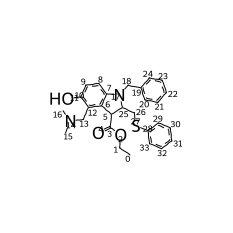 CCOC(=O)C1c2c(ccc(O)c2CN(C)C)N(Cc2ccccc2)C1CSc1ccccc1